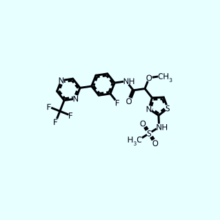 COC(C(=O)Nc1ccc(-c2cncc(C(F)(F)F)n2)cc1F)c1csc(NS(C)(=O)=O)n1